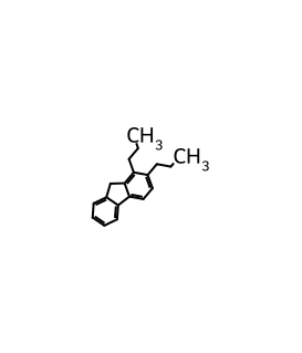 CCCc1ccc2c(c1CCC)Cc1ccccc1-2